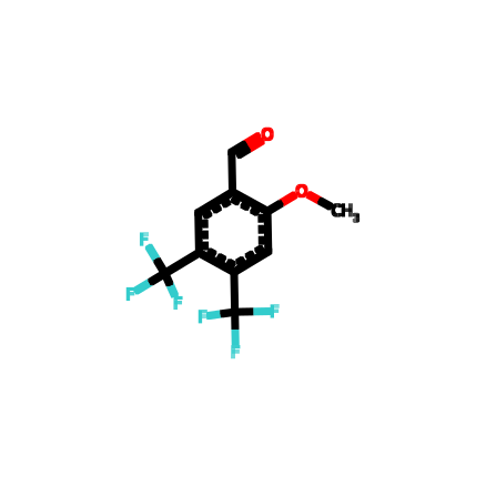 COc1cc(C(F)(F)F)c(C(F)(F)F)cc1C=O